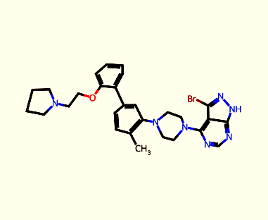 Cc1ccc(-c2ccccc2OCCN2CCCC2)cc1N1CCN(c2ncnc3[nH]nc(Br)c23)CC1